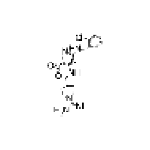 N=C(N)N1CCC(CNc2nc(NCc3ccccc3Cl)ncc2[N+](=O)[O-])CC1